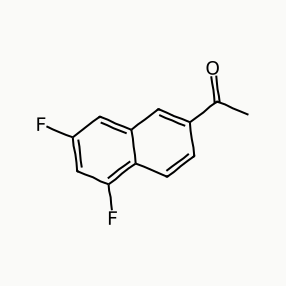 CC(=O)c1ccc2c(F)cc(F)cc2c1